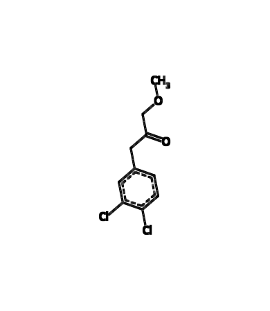 COCC(=O)Cc1ccc(Cl)c(Cl)c1